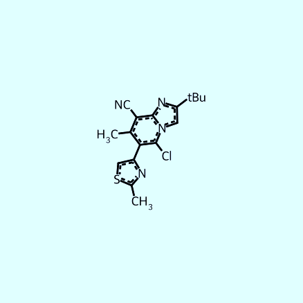 Cc1nc(-c2c(C)c(C#N)c3nc(C(C)(C)C)cn3c2Cl)cs1